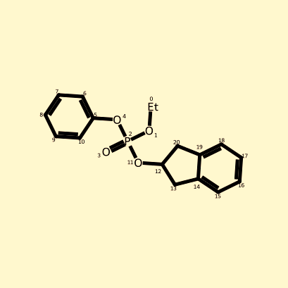 CCOP(=O)(Oc1ccccc1)OC1Cc2ccccc2C1